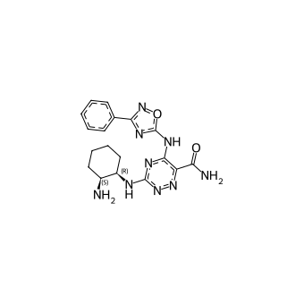 NC(=O)c1nnc(N[C@@H]2CCCC[C@@H]2N)nc1Nc1nc(-c2ccccc2)no1